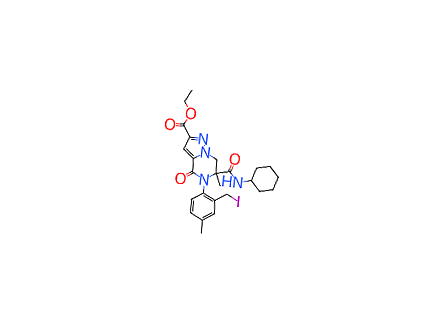 CCOC(=O)c1cc2n(n1)CC(C)(C(=O)NC1CCCCC1)N(c1ccc(C)cc1CI)C2=O